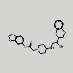 O=C(CN1CCC(NCC(O)C2COc3ccccc3O2)CC1)Nc1ccc2c(c1)OCO2